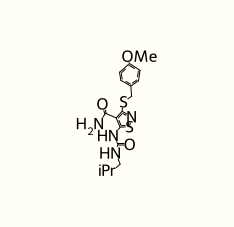 COc1ccc(CSc2nsc(NC(=O)NCC(C)C)c2C(N)=O)cc1